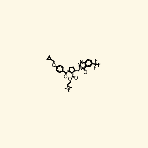 C[Si](C)(C)CCOC(=O)[C@H]1[C@H](Cn2nnc3ccc(C(F)(F)F)cc3c2=O)CC[C@@H]1C(=O)c1ccc(OCC2CC2)cc1